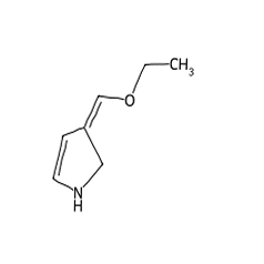 CCOC=C1C=CNC1